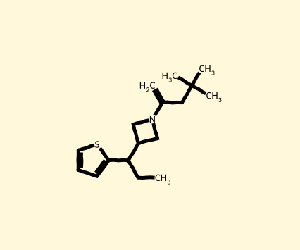 C=C(CC(C)(C)C)N1CC(C(CC)c2cccs2)C1